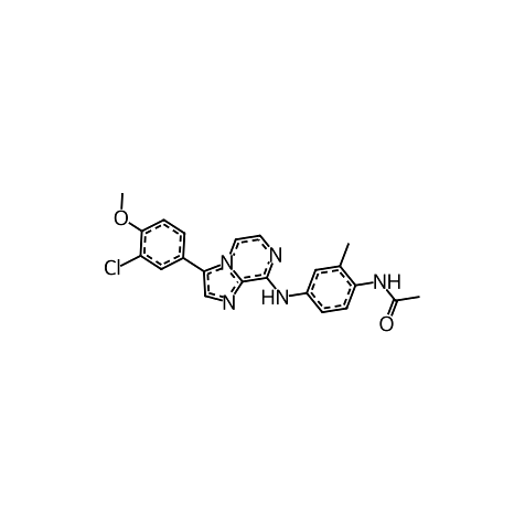 COc1ccc(-c2cnc3c(Nc4ccc(NC(C)=O)c(C)c4)nccn23)cc1Cl